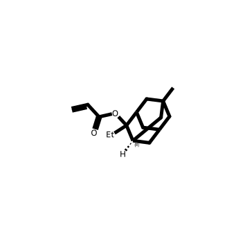 C=CC(=O)OC1(CC)C2CC3C[C@@H]1CC(C)(C3)C2